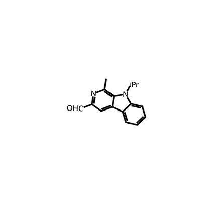 Cc1nc(C=O)cc2c3ccccc3n(C(C)C)c12